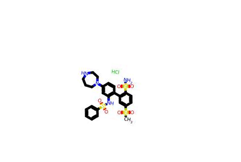 CS(=O)(=O)c1ccc(S(N)(=O)=O)c(-c2ccc(N3CCCNCC3)cc2NS(=O)(=O)c2ccccc2)c1.Cl